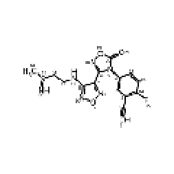 C#Cc1cc(-n2c(-c3nonc3NCCS(C)=N)noc2=O)ccc1F